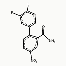 NC(=O)c1cc([N+](=O)[O-])ccc1-c1ccc(F)c(F)c1